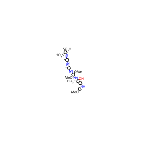 COc1ccc(Nc2ccc3c(O)c(N=Nc4cc(OC)c(N=Nc5ccc(N=Nc6ccc(N=Nc7ccc(S(=O)(=O)O)cc7S(=O)(=O)O)c(C)c6)c(C)c5)cc4OC)c(S(=O)(=O)O)cc3c2)cc1